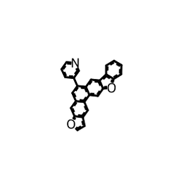 c1cncc(-c2cc3cc4occc4cc3c3cc4oc5ccccc5c4cc23)c1